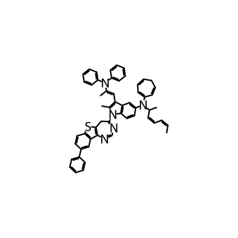 C/C=C\C=C/C(C)N(C1=CC=CCC=C1)c1ccc2c(c1)c(/C=C(\C)N(c1ccccc1)c1ccccc1)c(C)n2C1=NC=Nc2c(sc3ccc(-c4ccccc4)cc23)C1